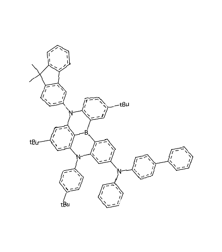 CC(C)(C)c1ccc(N2c3cc(N(c4ccccc4)c4ccc(-c5ccccc5)cc4)ccc3B3c4cc(C(C)(C)C)ccc4N(c4ccc5c(c4)-c4ccccc4C5(C)C)c4cc(C(C)(C)C)cc2c43)cc1